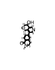 CN1CCc2cc(-c3cncc4c3COCC4O)ccc2C1=O